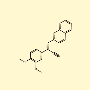 COc1ccc(/C(C#N)=C/c2ccc3ccccc3c2)cc1OC